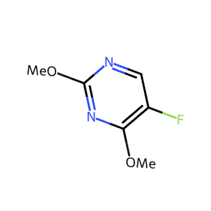 COc1ncc(F)c(OC)n1